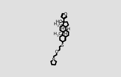 C[C@]12CCC(SCCOCCN3CCCC3)C=C1CC[C@@H]1[C@H]2CC[C@@]2(C)[C@H]1CCC2(O)c1ccoc1